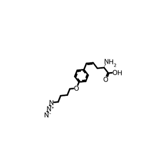 [N-]=[N+]=NCCCCOc1ccc(/C=C\C[C@H](N)C(=O)O)cc1